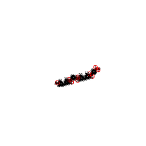 COC(=O)c1ccc(C(=O)Oc2c(C)cc(Cc3cc(C)c(OC(=O)c4cccc(C(=O)Oc5c(C)cc(Cc6cc(C)c(OC)c(C)c6)cc5C)c4)c(C)c3)cc2C)cc1